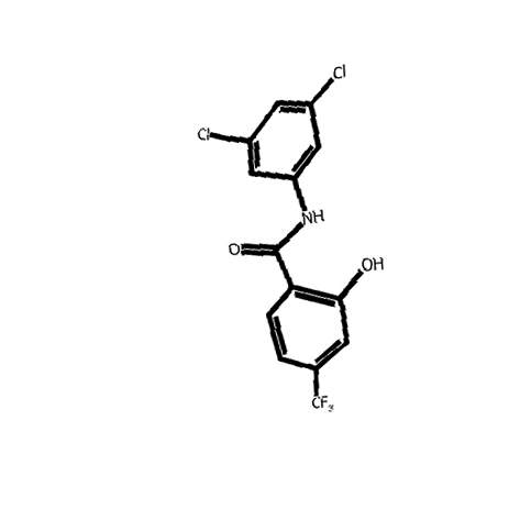 O=C(Nc1cc(Cl)cc(Cl)c1)c1ccc(C(F)(F)F)cc1O